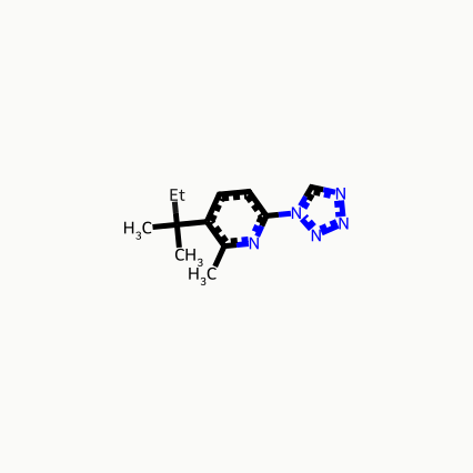 CCC(C)(C)c1ccc(-n2cnnn2)nc1C